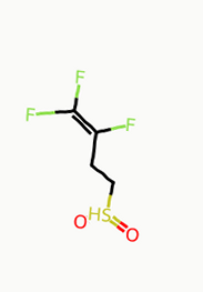 O=[SH](=O)CCC(F)=C(F)F